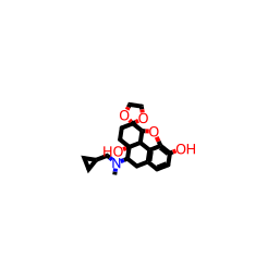 CN(CC1CC1)C1Cc2ccc(O)c3c2C2C(O3)C3(CCC21O)OCCO3